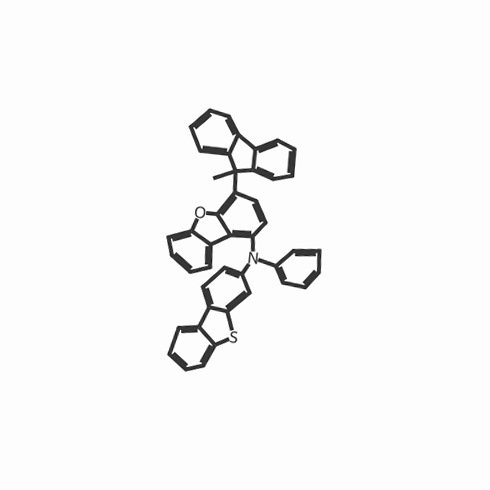 CC1(c2ccc(N(c3ccccc3)c3ccc4c(c3)sc3ccccc34)c3c2oc2ccccc23)c2ccccc2-c2ccccc21